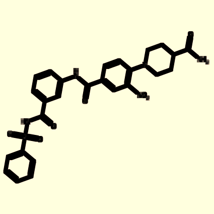 NC(=O)C1CCN(c2ccc(C(=O)Nc3cccc(C(=O)NS(=O)(=O)c4ccccc4)c3)cc2[N+](=O)[O-])CC1